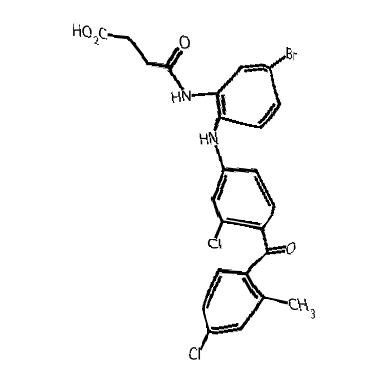 Cc1cc(Cl)ccc1C(=O)c1ccc(Nc2ccc(Br)cc2NC(=O)CCC(=O)O)cc1Cl